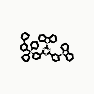 c1ccc(-c2cccc([Si](c3ccccc3)(c3ccccc3)c3cccc(-c4nc(-c5cccc(-n6c7ccccc7c7ccccc76)c5)nc(-n5c6ccccc6c6ccccc65)n4)c3)c2)cc1